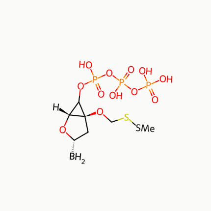 B[C@H]1C[C@@]2(OCSSC)C(OP(=O)(O)OP(=O)(O)OP(=O)(O)O)[C@H]2O1